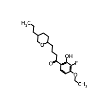 CCCC1CCC(CCCC(=O)c2ccc(OCC)c(F)c2O)OC1